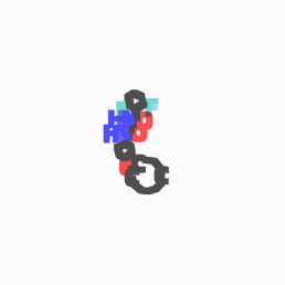 O=C(NC(=O)c1c(F)cccc1F)Nc1ccc(OC2CCCCCCCCCCC2)cc1